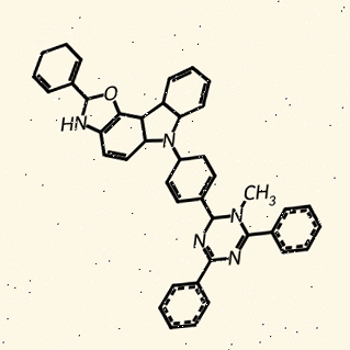 CN1C(c2ccccc2)=NC(c2ccccc2)=NC1C1=CCC(N2C3C=CC=CC3C3C4=C(C=CC32)NC(C2=CCCC=C2)O4)C=C1